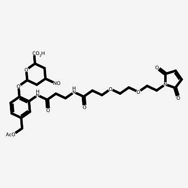 CC(=O)OCc1ccc(OC2CC(N=O)CC(C(=O)O)O2)c(NC(=O)CCNC(=O)CCOCCOCCN2C(=O)C=CC2=O)c1